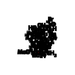 CC[C@H](C)[C@@H]([C@@H](CC(=O)N1CCC[C@H]1[C@H](OC)[C@@H](C)C(=O)N[C@H](C)[C@@H](O)c1ccccc1)OC)N(C)C(=O)[C@@H](NC(=O)[C@H](C(C)C)N(C)C(=O)OC(Cc1cn(CCNC(=O)CBr)nn1)c1ccc(O[C@@H]2O[C@H](C(=O)O)[C@@H](O)[C@H](O)[C@H]2O)c([N+](=O)[O-])c1)C(C)C